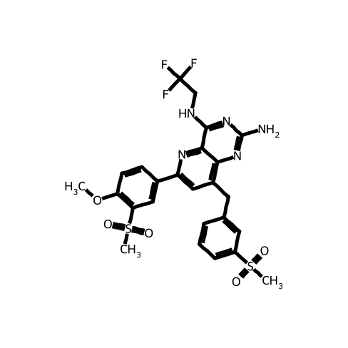 COc1ccc(-c2cc(Cc3cccc(S(C)(=O)=O)c3)c3nc(N)nc(NCC(F)(F)F)c3n2)cc1S(C)(=O)=O